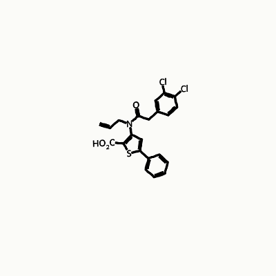 C=CCN(C(=O)Cc1ccc(Cl)c(Cl)c1)c1cc(-c2ccccc2)sc1C(=O)O